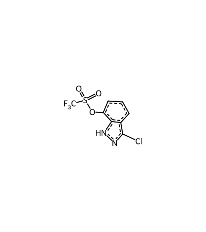 O=S(=O)(Oc1cccc2c(Cl)n[nH]c12)C(F)(F)F